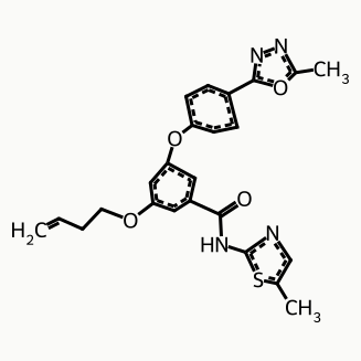 C=CCCOc1cc(Oc2ccc(-c3nnc(C)o3)cc2)cc(C(=O)Nc2ncc(C)s2)c1